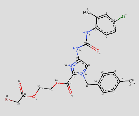 Cc1cc(Cl)ccc1NC(=O)Nc1cn(Cc2ccc(C(F)(F)F)cc2)c(C(=O)OCCOC(=O)CBr)n1